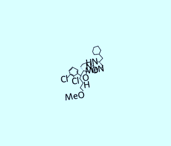 CNC[C@H](CC1CCCCC1)NC(=O)N1CCC[C@@H]([C@@](O)(CCCCOC)c2cccc(Cl)c2Cl)C1